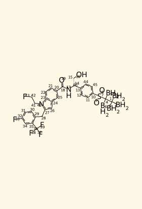 BC(B)(B)C(B)(B)S(=O)(=O)c1ccc([C@@H](CO)NC(=O)c2ccc3c(c2)cc(Cc2ccc(F)cc2C(F)(F)F)n3CCF)cc1